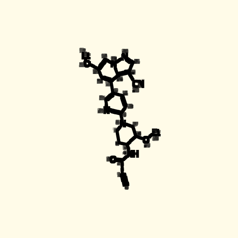 C#CC(=O)NC1CCN(c2ccc(-c3cc(OCC)cn4ncc(C#N)c34)cn2)CC1OCC